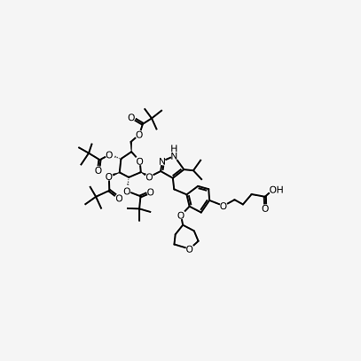 CC(C)c1[nH]nc(O[C@@H]2O[C@H](COC(=O)C(C)(C)C)[C@@H](OC(=O)C(C)(C)C)[C@H](OC(=O)C(C)(C)C)[C@H]2OC(=O)C(C)(C)C)c1Cc1ccc(OCCCC(=O)O)cc1OC1CCOCC1